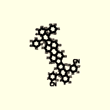 N#Cc1cccc(-c2c3ccccc3c(-c3cccc(C#N)c3)c3cc4c(cc23)-c2ccc3c5ccc6c7c(-c8ccccc8)c8cccc9c%10ccccc%10c(c89)c7c7ccc(c8ccc-4c2c38)c5c67)c1